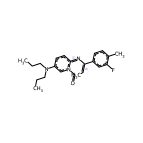 C/C=C(\N=c1\ccc(N(CCC)CCC)cn1C=O)c1ccc(C)c(F)c1